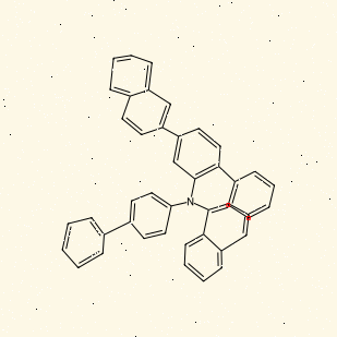 c1ccc(-c2ccc(N(c3cc(-c4ccc5ccccc5c4)ccc3-c3ccccc3)c3cccc4ccccc34)cc2)cc1